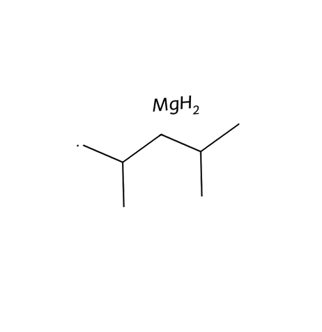 [CH2]C(C)CC(C)C.[MgH2]